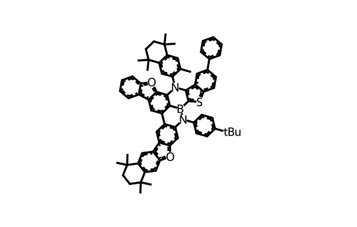 Cc1cc2c(cc1N1c3c(sc4ccc(-c5ccccc5)cc34)B3c4c(cc5c(oc6ccccc65)c41)-c1cc4c(cc1N3c1ccc(C(C)(C)C)cc1)oc1cc3c(cc14)C(C)(C)CCC3(C)C)C(C)(C)CCC2(C)C